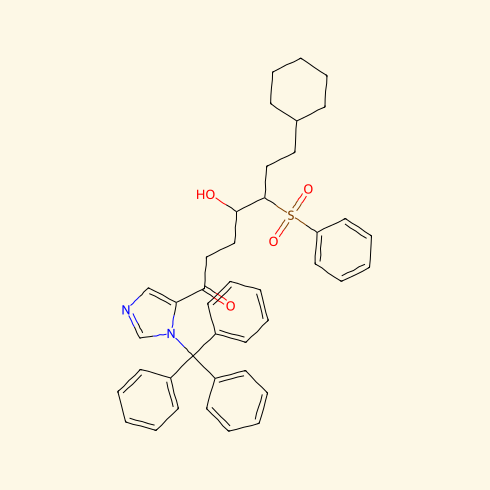 O=C(CCC(O)C(CCC1CCCCC1)S(=O)(=O)c1ccccc1)c1cncn1C(c1ccccc1)(c1ccccc1)c1ccccc1